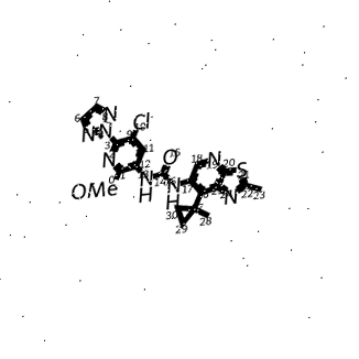 COc1nc(-n2nccn2)c(Cl)cc1NC(=O)Nc1cnc2sc(C)nc2c1C1(C)CC1